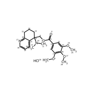 COc1cc(C(=O)OCC2(N(C)C)CCCc3ncccc32)cc(OC)c1OC.Cl